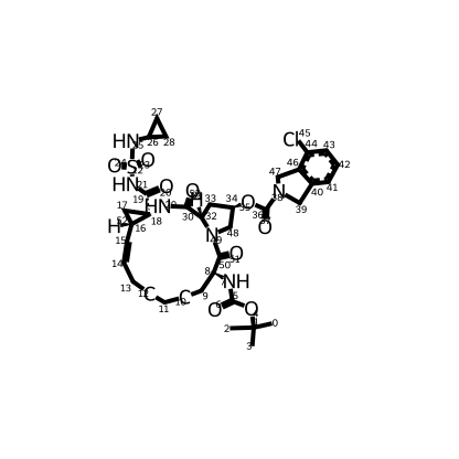 CC(C)(C)OC(=O)N[C@H]1CCCCC/C=C\[C@@H]2C[C@@]2(C(=O)NS(=O)(=O)NC2CC2)NC(=O)[C@@H]2C[C@@H](OC(=O)N3Cc4cccc(Cl)c4C3)CN2C1=O